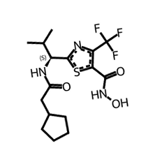 CC(C)[C@H](NC(=O)CC1CCCC1)c1nc(C(F)(F)F)c(C(=O)NO)s1